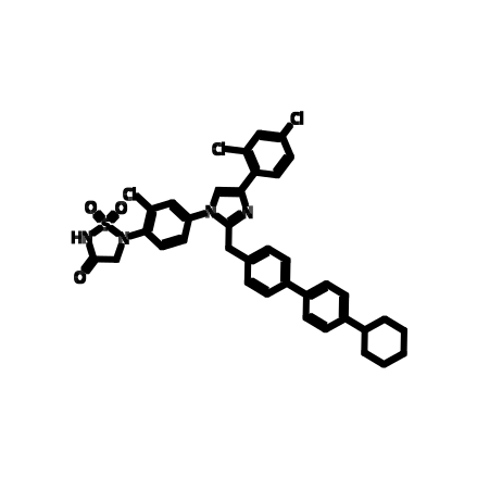 O=C1CN(c2ccc(-n3cc(-c4ccc(Cl)cc4Cl)nc3Cc3ccc(-c4ccc(C5CCCCC5)cc4)cc3)cc2Cl)S(=O)(=O)N1